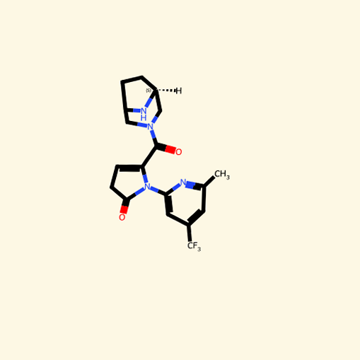 Cc1cc(C(F)(F)F)cc(N2C(=O)CC=C2C(=O)N2CC3CC[C@@H](C2)N3)n1